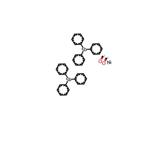 [C]=O.[C]=O.[Ni].c1cc[c]([Sb]([c]2ccccc2)[c]2ccccc2)cc1.c1cc[c]([Sb]([c]2ccccc2)[c]2ccccc2)cc1